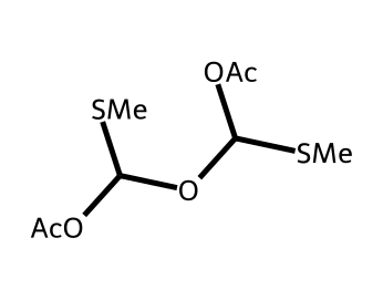 CSC(OC(C)=O)OC(OC(C)=O)SC